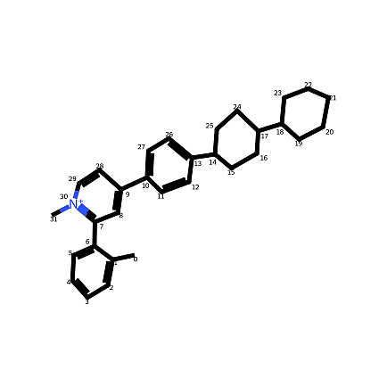 Cc1ccccc1-c1cc(-c2ccc(C3CCC(C4CCCCC4)CC3)cc2)cc[n+]1C